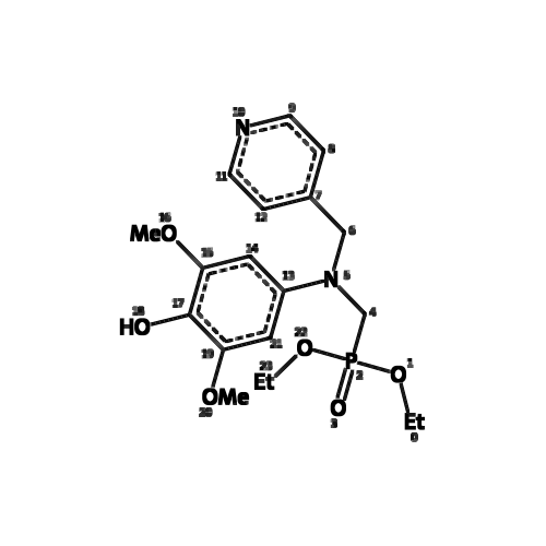 CCOP(=O)(CN(Cc1ccncc1)c1cc(OC)c(O)c(OC)c1)OCC